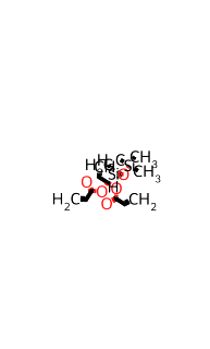 C=CC(=O)OC(CC)(OC(=O)C=C)[SiH](C)O[Si](C)(C)C